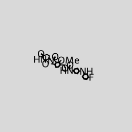 COc1c(COC(=O)Nc2ccc(Nc3cccc(F)c3)cc2)ccc2c1C(=O)N(C1CCC(=O)NC1=O)C2